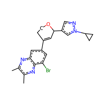 Cc1nc2cc(C3=CC(c4cnn(C5CC5)c4)OCC3)cc(Br)c2nc1C